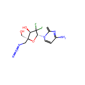 C=C1N=C(N)C=CN1[C@@H]1O[C@@](CO)(CN=[N+]=[N-])[C@@H](O)C1(F)F